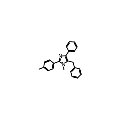 Cc1ccc(-c2nc(-c3ccccc3)c(Cc3ccccc3)n2C)cc1